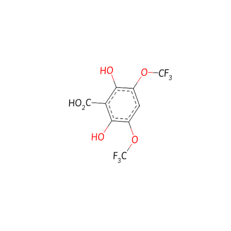 O=C(O)c1c(O)c(OC(F)(F)F)cc(OC(F)(F)F)c1O